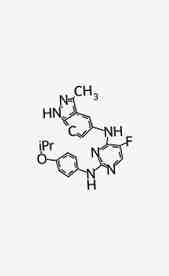 Cc1n[nH]c2ccc(Nc3nc(Nc4ccc(OC(C)C)cc4)ncc3F)cc12